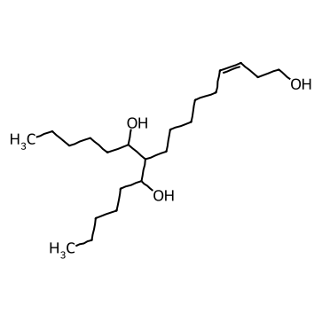 CCCCCC(O)C(CCCCC/C=C\CCO)C(O)CCCCC